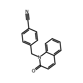 N#Cc1ccc(Cn2c(=O)ccc3ccccc32)cc1